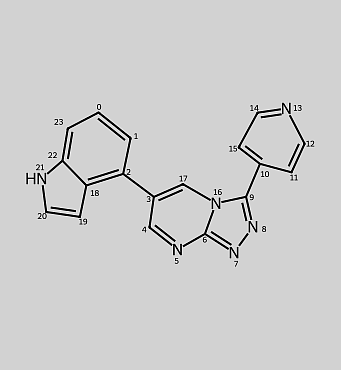 c1cc(-c2cnc3nnc(-c4ccncc4)n3c2)c2cc[nH]c2c1